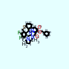 C=C1CCCN1CC1N(C)C(=O)c2c(OCc3ccccc3)c(=O)ccn2N1C1c2ccccc2SCc2c1ccc(F)c2F